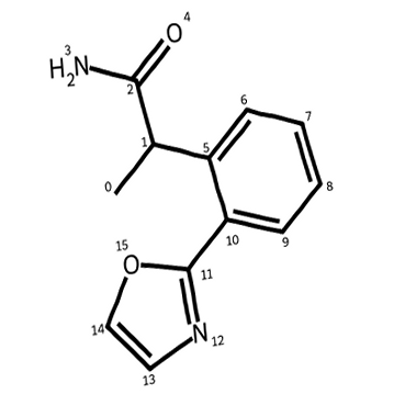 CC(C(N)=O)c1ccccc1-c1ncco1